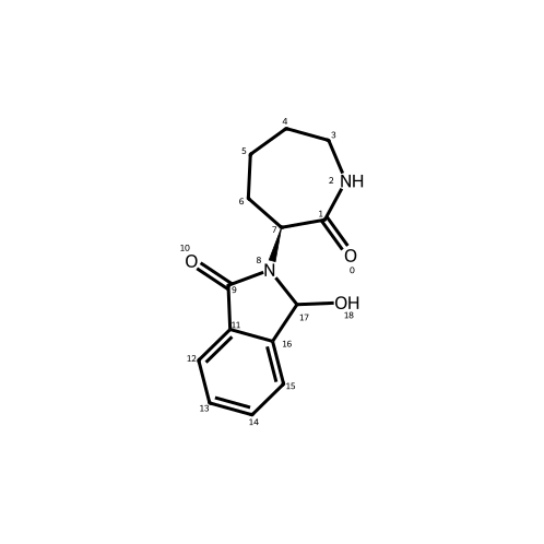 O=C1NCCCC[C@@H]1N1C(=O)c2ccccc2C1O